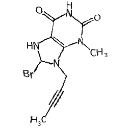 CC#CCN1c2c(c(=O)[nH]c(=O)n2C)NC1Br